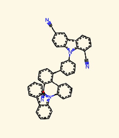 N#Cc1ccc2c(c1)c1cccc(C#N)c1n2-c1cccc(-c2cccc(C#N)c2-c2ccccc2-n2c3ccccc3c3ccccc32)c1